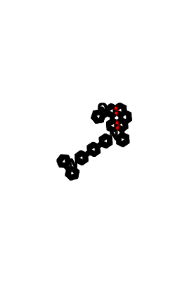 c1ccc(N(c2ccc(-c3ccc(-c4ccc(-n5c6ccccc6c6ccccc65)cc4)cc3)cc2)c2ccc(-c3cccc4oc5ccccc5c34)cc2)c(-c2ccc3c(ccc4ccccc43)c2)c1